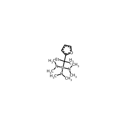 CC[C](C)(c1ccco1)[Sn]([N](C)C)([N](C)C)[N](C)C